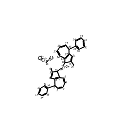 CC1=CC2=C(C=CC=CC2c2ccccc2)[CH]1[Zr+2][CH]1C(C)=CC2=C1C=CC=CC2c1ccccc1.[CH3][Al].[Cl-].[Cl-]